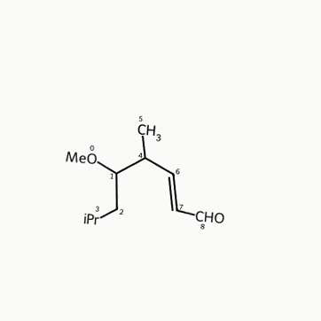 COC(CC(C)C)C(C)/C=C/C=O